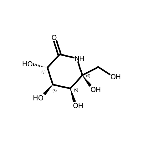 O=C1N[C@](O)(CO)[C@@H](O)[C@@H](O)[C@@H]1O